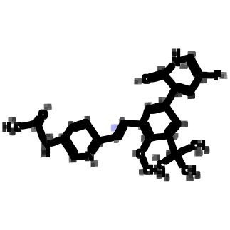 COc1c(/C=C/c2ccc(NC(C)=O)cn2)cc(-c2cc(F)c[nH]c2=O)cc1C(C)(C)C